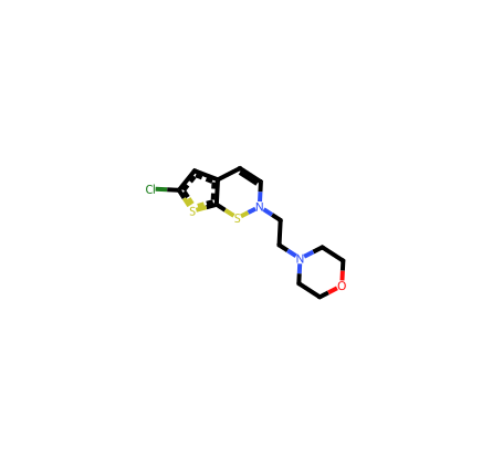 Clc1cc2c(s1)SN(CCN1CCOCC1)C=C2